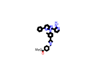 COC(=O)[C@H]1CC[C@H](CN2CC(c3ccc(-n4c(-c5cccnc5N)nc5ccc(-c6ccccc6)nc54)c(C)c3)C2)CC1